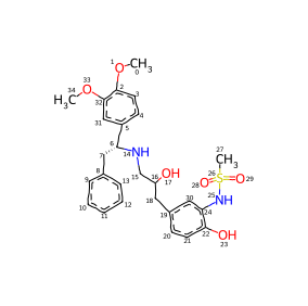 COc1ccc([C@@H](Cc2ccccc2)NCC(O)Cc2ccc(O)c(NS(C)(=O)=O)c2)cc1OC